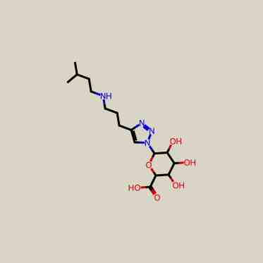 CC(C)CCNCCCc1cn(C2OC(C(=O)O)C(O)C(O)C2O)nn1